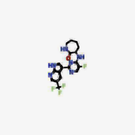 O=C1NCCCCC1Nc1nc(-c2c[nH]c3ncc(C(F)(F)F)cc23)ncc1F